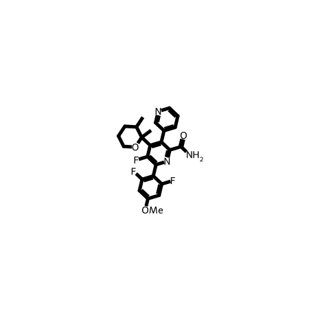 COc1cc(F)c(-c2nc(C(N)=O)c(-c3cccnc3)c(C3(C)OCCCC3C)c2F)c(F)c1